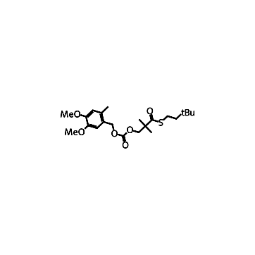 COc1cc(C)c(COC(=O)OCC(C)(C)C(=O)SCCC(C)(C)C)cc1OC